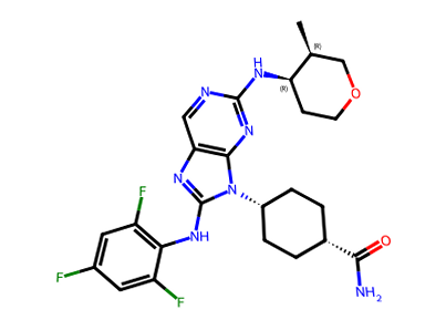 C[C@H]1COCC[C@H]1Nc1ncc2nc(Nc3c(F)cc(F)cc3F)n([C@H]3CC[C@@H](C(N)=O)CC3)c2n1